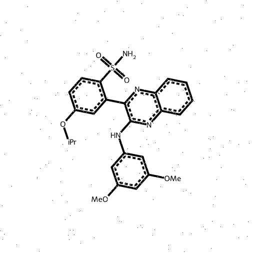 COc1cc(Nc2nc3ccccc3nc2-c2cc(OC(C)C)ccc2S(N)(=O)=O)cc(OC)c1